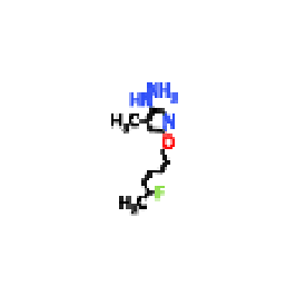 C=C(F)/C=C\C=C/COc1cc(C)c(NN)cn1